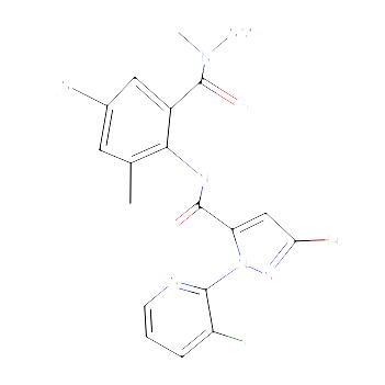 CNN(C)C(=O)c1cc([N+](=O)[O-])cc(C)c1NC(=O)c1cc(Br)nn1-c1ncccc1Cl